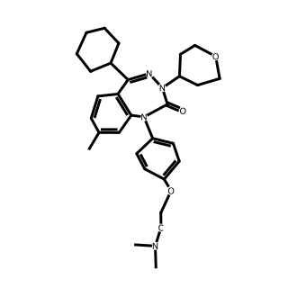 Cc1ccc2c(c1)N(c1ccc(OCCN(C)C)cc1)C(=O)N(C1CCOCC1)N=C2C1CCCCC1